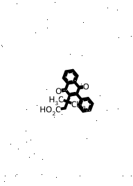 CC(C)(CC(=O)O)C1=C(c2ccccc2)C(=O)c2ccccc2C1=O